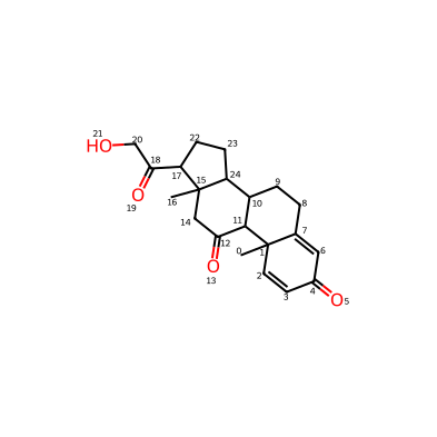 CC12C=CC(=O)C=C1CCC1C2C(=O)CC2(C)C(C(=O)CO)CCC12